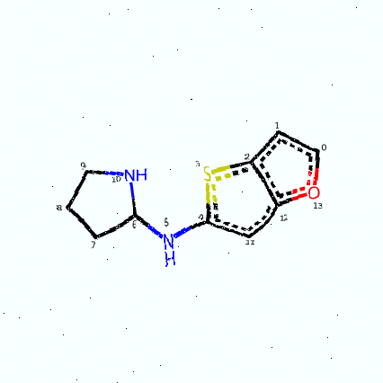 c1cc2sc(NC3CCCN3)cc2o1